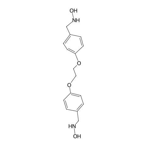 ONCc1ccc(OCCOc2ccc(CNO)cc2)cc1